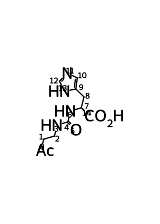 CC(=O)CCNC(=O)NC(Cc1cnc[nH]1)C(=O)O